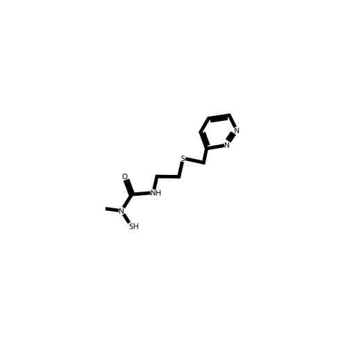 CN(S)C(=O)NCCSCc1cccnn1